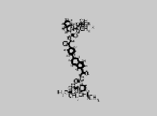 CCC[C@H]1C[C@@H](C(=O)OCC(=O)c2ccc3cc(-c4ccc(C(=O)COC(=O)[C@@H]5C[C@@H]6CCC[C@@H]6N5C(=O)OC(C)(C)C)cc4)ccc3c2)N(C(=O)OC(C)(C)C)[C@H]1C